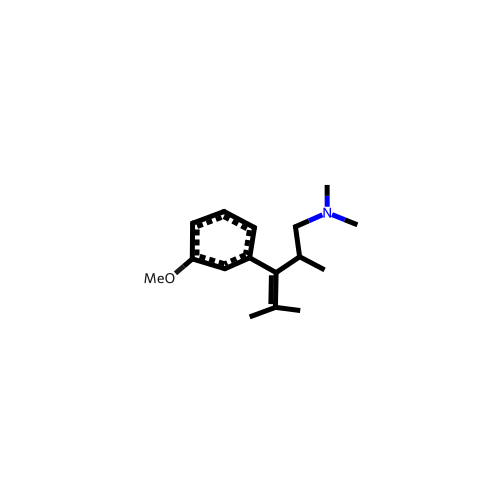 COc1cccc(C(=C(C)C)C(C)CN(C)C)c1